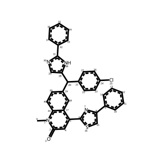 Cn1c(=O)cc(-c2nc(-c3ccccc3)cs2)c2cc(C(c3ccc(Cl)cc3)c3cnc(-c4ccccc4)[nH]3)ccc21